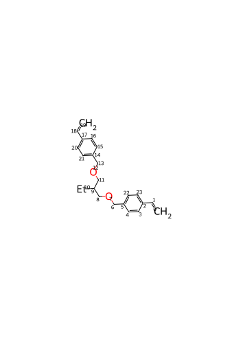 C=Cc1ccc(COCC(CC)COCc2ccc(C=C)cc2)cc1